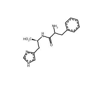 NC(Cc1ccccc1)C(=O)N[C@@H](Cc1c[nH]cn1)C(=O)O